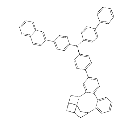 c1ccc(-c2ccc(N(c3ccc(-c4ccc5c(c4)C4CC6CC7CC(CC764)c4ccccc4-5)cc3)c3ccc(-c4ccc5ccccc5c4)cc3)cc2)cc1